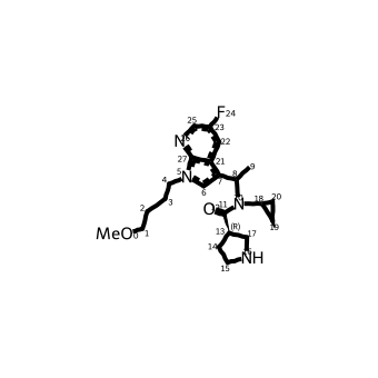 COCCCCn1cc(C(C)N(C(=O)[C@@H]2CCNC2)C2CC2)c2cc(F)cnc21